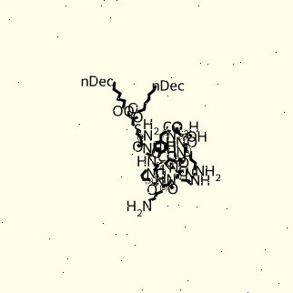 CCCCCCCCCCCCCCCC(=O)OCC(CSC[C@H](N)C(=O)NCC(=O)N[C@@H](CC(=O)O)C(=O)N1CCC[C@H]1C(=O)N[C@@H](CCCCN)C(=O)N[C@@H](Cc1c[nH]cn1)C(=O)N1CCC[C@H]1C(=O)N[C@@H](CCCCN)C(=O)N[C@@H](CO)C(=O)N[C@@H](Cc1ccccc1)C(=O)O)OC(=O)CCCCCCCCCCCCCCC